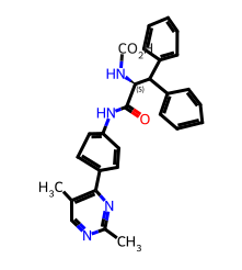 Cc1ncc(C)c(-c2ccc(NC(=O)[C@@H](NC(=O)O)C(c3ccccc3)c3ccccc3)cc2)n1